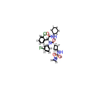 O=C(NC1CCCCC1)[C@@H](c1ccccc1Cl)N(c1cccc(F)c1)C(=O)[C@H]1C[C@@H](NS(=O)(=O)N2CC2)C1